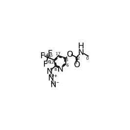 CNC(=O)Oc1cnc(N=[N+]=[N-])c(C(F)(F)F)c1